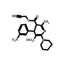 C#CCOC(=O)C1C(C)=NC(N2CCCCC2)=C(C(=O)OCC)C1c1cccc([N+](=O)[O-])c1